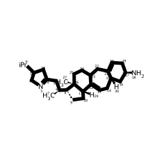 CC(C)C1CN=C(C[C@@H](C)[C@H]2CC[C@H]3C4=CC[C@H]5C[C@H](N)CC=C5CC4CC[C@]23C)C1